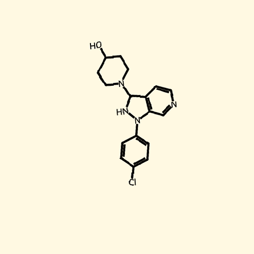 OC1CCN(C2NN(c3ccc(Cl)cc3)c3cnccc32)CC1